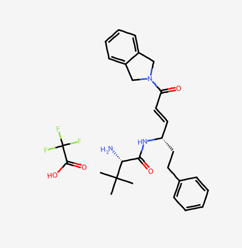 CC(C)(C)[C@H](N)C(=O)N[C@H](/C=C/C(=O)N1Cc2ccccc2C1)CCc1ccccc1.O=C(O)C(F)(F)F